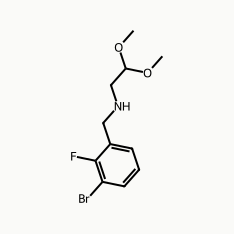 COC(CNCc1cccc(Br)c1F)OC